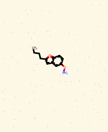 CCCCc1cc2cc(ON)ccc2o1